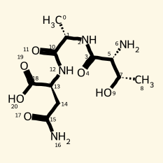 C[C@H](NC(=O)[C@H](N)[C@H](C)O)C(=O)N[C@@H](CC(N)=O)C(=O)O